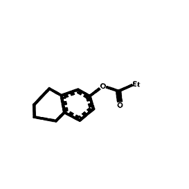 CCC(=O)Oc1ccc2c(c1)CCCC2